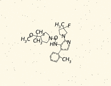 COC(C)(C)C1CCN(C(=O)Nc2c(-c3ccccc3C)ccnc2N2CCC(C)(F)C2)CC1